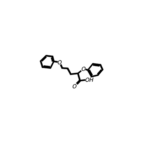 O=C(O)C(CCCOc1ccccc1)Oc1ccccc1